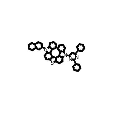 c1ccc(-c2cc(-n3c4ccccc4c4c5c(ccc43)sc3ccc4c(c6ccccc6n4-c4ccc6ccccc6c4)c35)nc(-c3ccccc3)n2)cc1